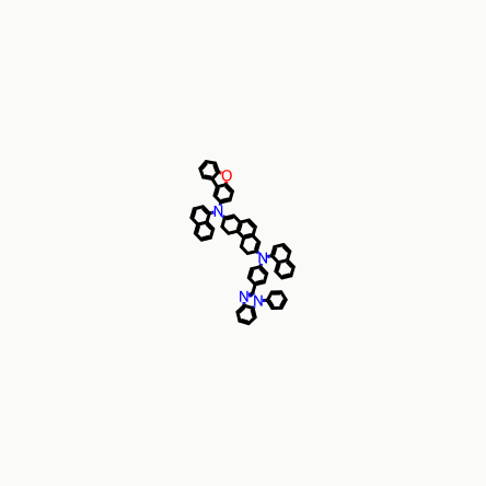 C1=C(N(c2ccc(-c3nc4ccccc4n3-c3ccccc3)cc2)c2cccc3ccccc23)CCc2c1ccc1c2CCC(N(c2ccc3oc4ccccc4c3c2)c2cccc3ccccc23)=C1